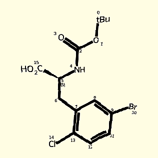 CC(C)(C)OC(=O)N[C@@H](Cc1cc(Br)ccc1Cl)C(=O)O